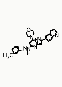 Cc1cccc(/C=N/Nc2cc(N3CCOCC3)n3nc(-c4ccc5ncccc5c4)cc3n2)c1